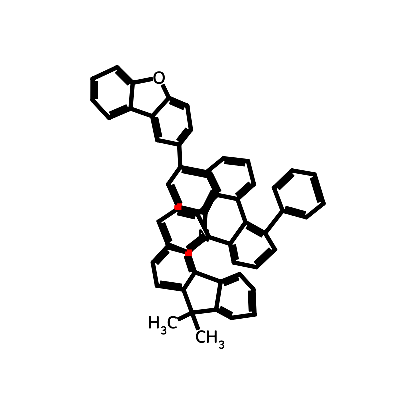 CC1(C)c2ccccc2-c2c(N(c3ccc(-c4ccc5oc6ccccc6c5c4)cc3)c3cccc(-c4ccccc4)c3-c3ccccc3-c3ccccc3)cccc21